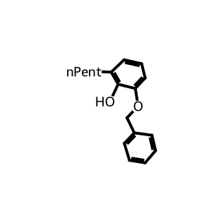 CCCCCc1cccc(OCc2ccccc2)c1O